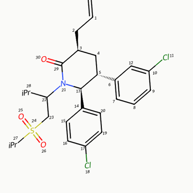 C=CC[C@H]1C[C@H](c2cccc(Cl)c2)[C@@H](c2ccc(Cl)cc2)N(C(CS(=O)(=O)C(C)C)C(C)C)C1=O